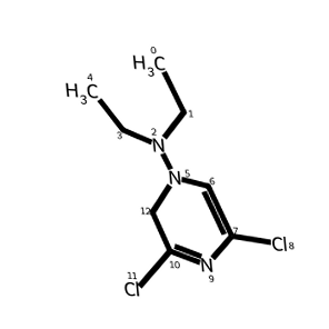 CCN(CC)N1C=C(Cl)N=C(Cl)C1